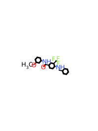 COc1cccc(NC(=O)c2ccc(NCc3ccccc3)c(C(F)(F)F)c2)c1